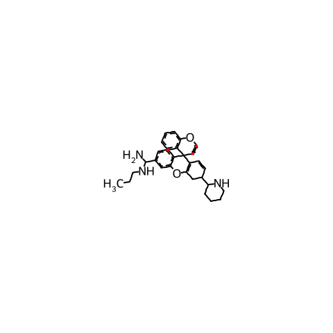 CCCNC(N)c1ccc2c(c1)OC1=C(C=CC(C3CCCCN3)C1)C21c2ccccc2Oc2ccccc21